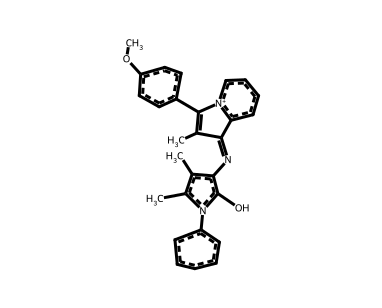 COc1ccc(C2=C(C)/C(=N\c3c(C)c(C)n(-c4ccccc4)c3O)c3cccc[n+]32)cc1